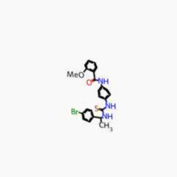 COc1ccccc1C(=O)Nc1ccc(NC(=S)NC(C)c2ccc(Br)cc2)cc1